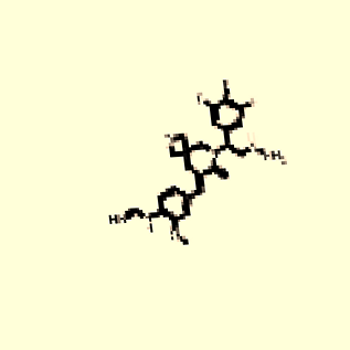 C=C1/C(=C/c2ccc(NC=N)c(OC)c2)CC2(COC2)CN1C(CNN)c1cc(F)c(F)c(F)c1